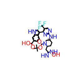 CC(C)(C)OC(=O)N1C[C@@H](Nc2ncc(C(F)(F)F)c(-c3c[nH]c4cc(C(=O)O)ccc34)n2)CCC1CC(=N)NO